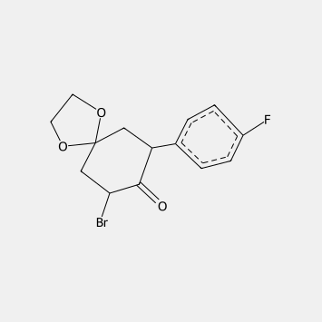 O=C1C(Br)CC2(CC1c1ccc(F)cc1)OCCO2